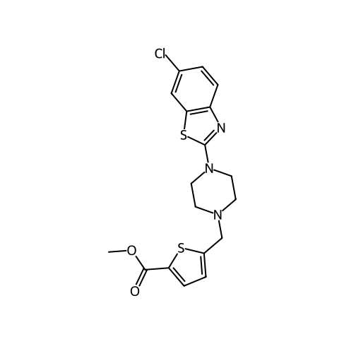 COC(=O)c1ccc(CN2CCN(c3nc4ccc(Cl)cc4s3)CC2)s1